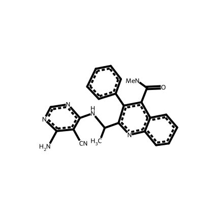 CNC(=O)c1c(-c2ccccc2)c(C(C)Nc2ncnc(N)c2C#N)nc2ccccc12